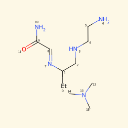 CCC(CNCCN)N=CC(N)=O.CN(C)C